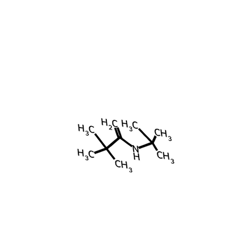 C=C(NC(C)(C)C)C(C)(C)C